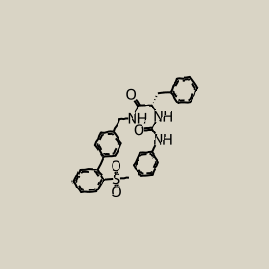 CS(=O)(=O)c1ccccc1-c1ccc(CNC(=O)[C@H](Cc2ccccc2)NC(=O)Nc2ccccc2)cc1